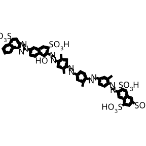 Cc1cc(N=Nc2cc(C)c(N=Nc3c(S(=O)(=O)O)cc4cc(-n5nc6cc(S(=O)(=O)O)c7ccccc7c6n5)ccc4c3O)cc2C)ccc1N=Nc1ccc(N=Nc2cc3c(S(=O)(=O)O)cc(S(=O)(=O)O)cc3cc2S(=O)(=O)O)c(C)c1